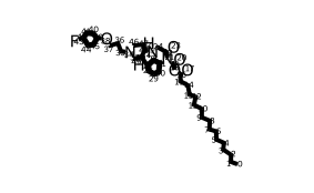 CCCCCCCCCCCCCCCCC(=O)OC(=O)N1C(=O)CN2c3c(cccc31)[C@@H]1CN(CCCOc3ccc(F)cc3)CC[C@@H]12